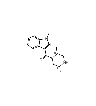 C[C@@H]1CN(C(=O)c2nn(C)c3ccccc23)[C@@H](C)CN1